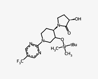 CC(C)(C)[Si](C)(C)OC1CN(c2ncc(C(F)(F)F)cn2)CC[C@H]1N1CC[C@@H](O)C1=O